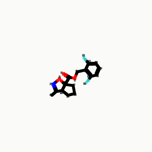 CC1=NOC2(C(=O)OCc3c(F)cccc3F)CCCC12